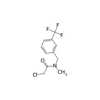 CN(Cc1cccc(C(F)(F)F)c1)C(=O)CCl